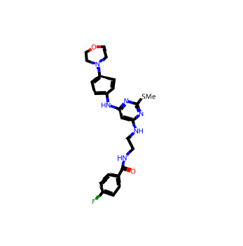 CSc1nc(NCCNC(=O)c2ccc(F)cc2)cc(Nc2ccc(N3CCOCC3)cc2)n1